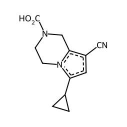 N#Cc1cc(C2CC2)n2c1CN(C(=O)O)CC2